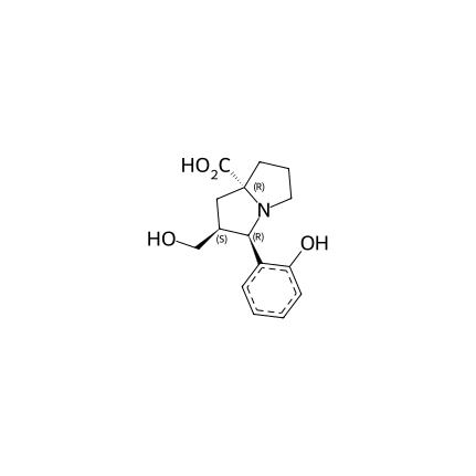 O=C(O)[C@]12CCCN1[C@@H](c1ccccc1O)[C@@H](CO)C2